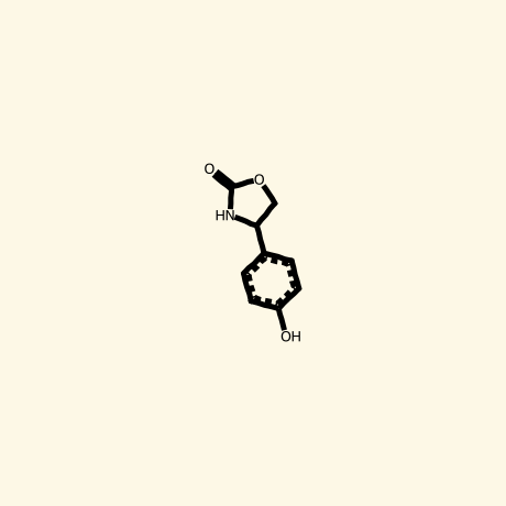 O=C1NC(c2ccc(O)cc2)CO1